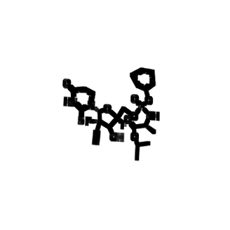 C#C[C@@]1(F)C(O)[C@@](F)(COP(=O)(N[C@@H](C)C(=O)OC(C)C)Oc2ccccc2)O[C@H]1n1ccc(=O)[nH]c1=S